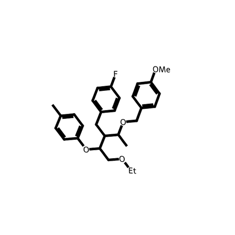 CCOCC(Oc1ccc(C)cc1)C(Cc1ccc(F)cc1)C(C)OCc1ccc(OC)cc1